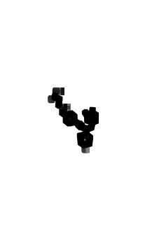 Cc1ccc(CC(C#Cc2ccc(CNCCC(=O)O)cc2)c2ccc(Cl)cc2)cc1C